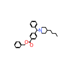 CCCCC1CCN(C(c2ccccc2)c2ccc(C(=O)OCc3ccccc3)cc2)CC1